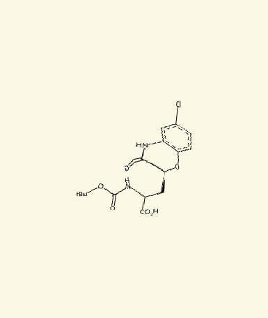 CC(C)(C)OC(=O)NC(C[C@@H]1Oc2ccc(Cl)cc2NC1=O)C(=O)O